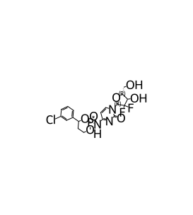 O=c1nc(NP2(=O)OCCC(c3cccc(Cl)c3)O2)ccn1[C@@H]1O[C@H](CO)C(O)C1(F)F